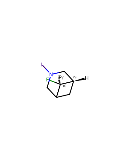 CC(C)[C@]1(F)C2C[C@H]1CN(I)C2